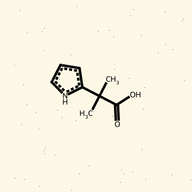 CC(C)(C(=O)O)c1ccc[nH]1